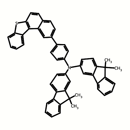 CC1(C)c2ccccc2-c2cc(N(c3ccc(-c4ccc5ccc6sc7ccccc7c6c5c4)cc3)c3ccc4c(c3)C(C)(C)c3ccccc3-4)ccc21